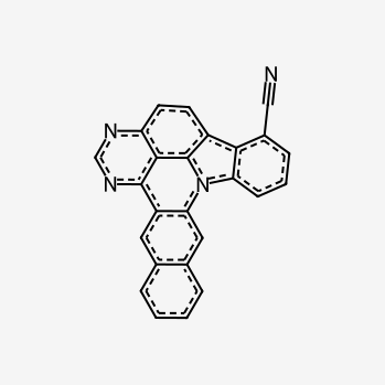 N#Cc1cccc2c1c1ccc3ncnc4c5cc6ccccc6cc5n2c1c34